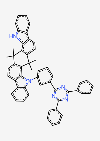 CC1(C)c2ccc3c4ccccc4n(-c4cccc(-c5nc(-c6ccccc6)nc(-c6ccccc6)n5)c4)c3c2C(C)(C)c2ccc3c([nH]c4ccccc43)c21